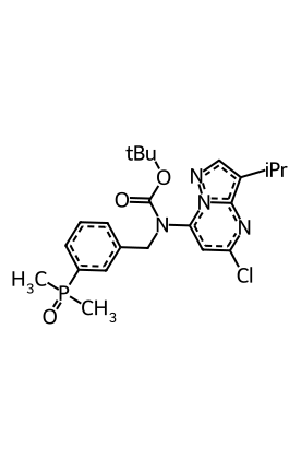 CC(C)c1cnn2c(N(Cc3cccc(P(C)(C)=O)c3)C(=O)OC(C)(C)C)cc(Cl)nc12